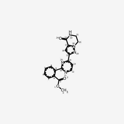 COC(=O)c1ccccc1-c1nccc(-c2cc3n(n2)CCNC3=O)n1